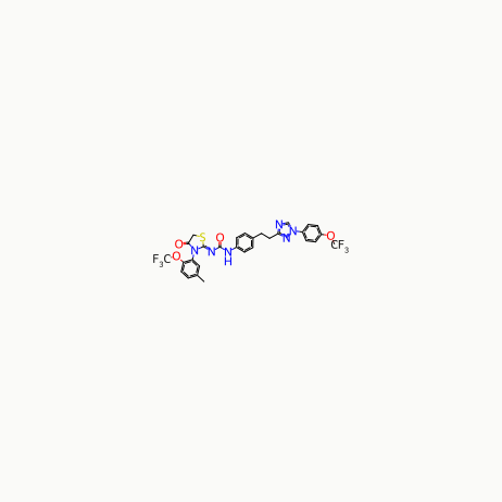 Cc1ccc(OC(F)(F)F)c(N2C(=O)CSC2=NC(=O)Nc2ccc(CCc3ncn(-c4ccc(OC(F)(F)F)cc4)n3)cc2)c1